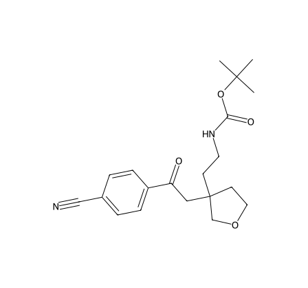 CC(C)(C)OC(=O)NCCC1(CC(=O)c2ccc(C#N)cc2)CCOC1